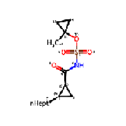 CCCCCCC[C@@H]1C[C@@H]1C(=O)NS(=O)(=O)OC1(C)CC1